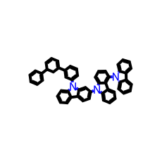 C1=CC(c2ccccc2)CC(c2cccc(-n3c4ccccc4c4ccc(-n5c6ccccc6c6c(-n7c8ccccc8c8ccccc87)cccc65)cc43)c2)=C1